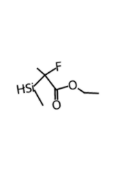 CCOC(=O)C(C)(F)[SiH](C)C